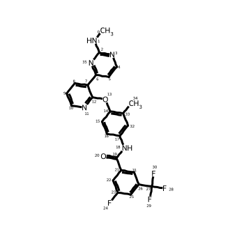 CNc1nccc(-c2cccnc2Oc2ccc(NC(=O)c3cc(F)cc(C(F)(F)F)c3)cc2C)n1